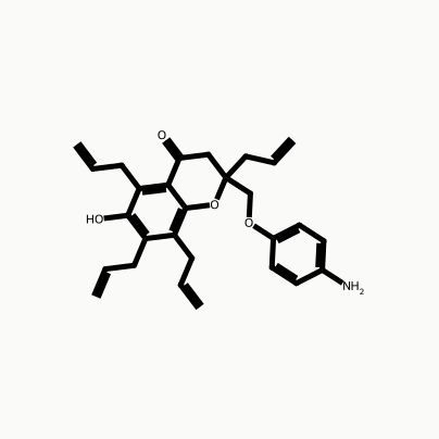 C=CCc1c(O)c(CC=C)c2c(c1CC=C)OC(CC=C)(COc1ccc(N)cc1)CC2=O